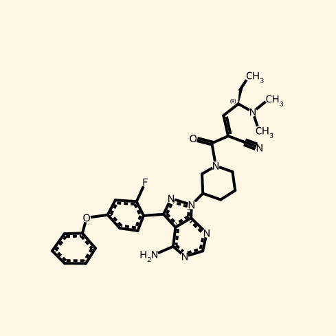 CC[C@H](C=C(C#N)C(=O)N1CCCC(n2nc(-c3ccc(Oc4ccccc4)cc3F)c3c(N)ncnc32)C1)N(C)C